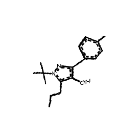 CCCc1c(O)c(-c2ccc(C)cc2)nn1C(C)(C)C